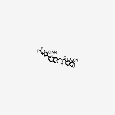 COc1nn(CC(F)F)cc1-c1ccc2cnc(CNC(=O)c3ccc4c(c3)[C@](C)(C#N)COC4)cc2n1